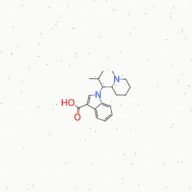 CC(C)C(C1CCCCN1C)n1cc(C(=O)O)c2ccccc21